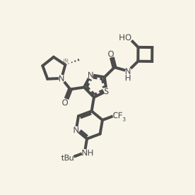 C[C@H]1CCCN1C(=O)c1nc(C(=O)NC2CCC2O)sc1C1=CN=C(NC(C)(C)C)CC1C(F)(F)F